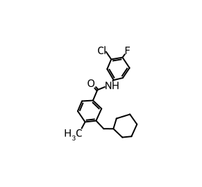 Cc1ccc(C(=O)Nc2ccc(F)c(Cl)c2)cc1CC1CCCCC1